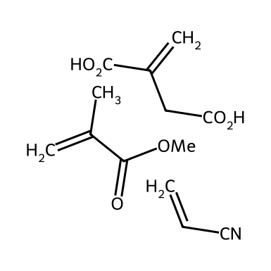 C=C(C)C(=O)OC.C=C(CC(=O)O)C(=O)O.C=CC#N